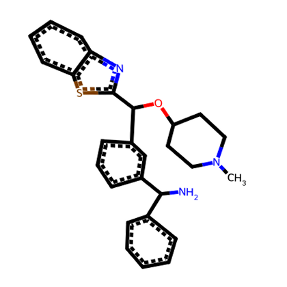 CN1CCC(OC(c2cccc(C(N)c3ccccc3)c2)c2nc3ccccc3s2)CC1